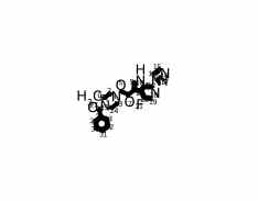 C[C@@H]1CN(C(=O)C(=O)c2c[nH]c3c(-n4ccnn4)ncc(F)c23)CCN1C(=O)c1ccccc1